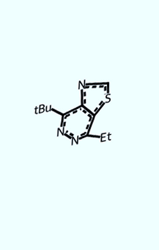 CCc1nnc(C(C)(C)C)c2ncsc12